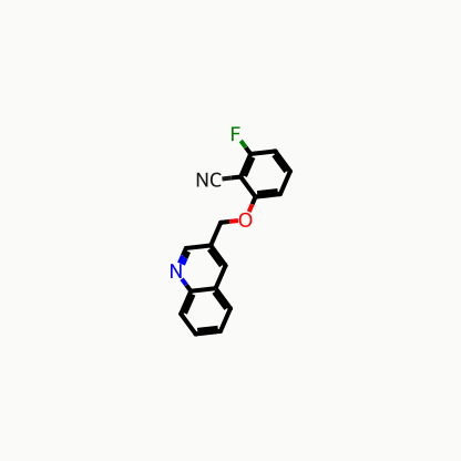 N#Cc1c(F)cccc1OCc1cnc2ccccc2c1